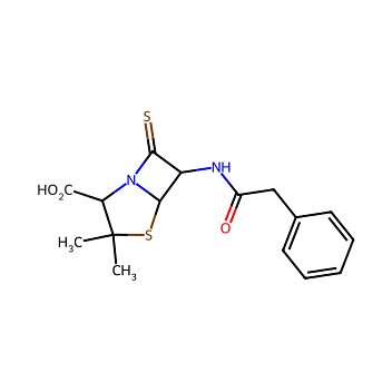 CC1(C)SC2C(NC(=O)Cc3ccccc3)C(=S)N2C1C(=O)O